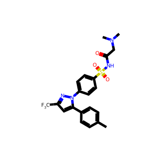 Cc1ccc(-c2cc(C(F)(F)F)nn2-c2ccc(S(=O)(=O)NC(=O)CN(C)C)cc2)cc1